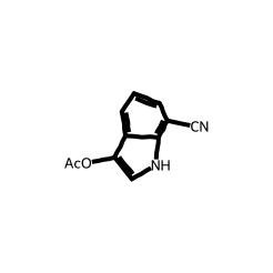 CC(=O)Oc1c[nH]c2c(C#N)cccc12